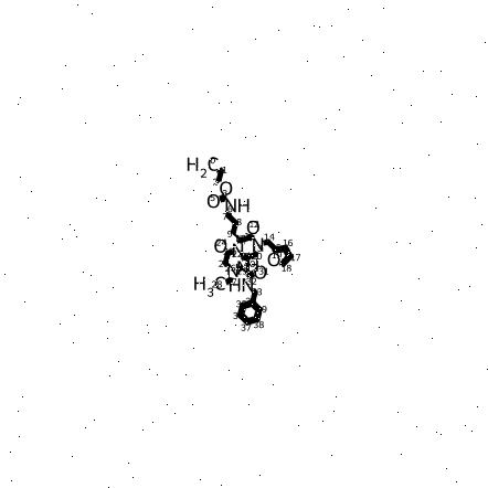 C=CCOC(=O)NCCC[C@H]1C(=O)N(Cc2ccco2)C[C@H]2N1C(=O)CN(CC)N2C(=O)NCc1ccccc1